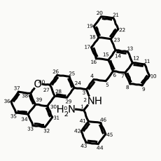 NC(N/C(=C\Cc1c2ccccc2cc2c1ccc1ccccc12)c1ccc2c(c1)-c1cccc3cccc(c13)O2)c1ccccc1